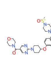 C[S+]([O-])N1CCN(Cc2ccc(OC3CCN(c4ncc(C(=O)N5CCOCC5)cn4)CC3)c(Cl)c2)CC1